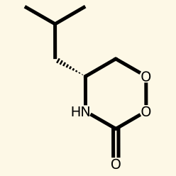 CC(C)C[C@@H]1COOC(=O)N1